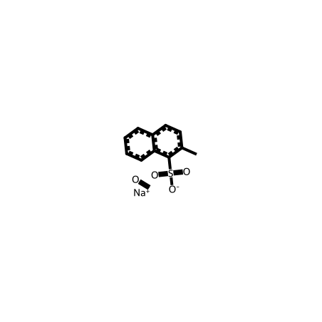 C=O.Cc1ccc2ccccc2c1S(=O)(=O)[O-].[Na+]